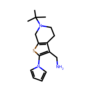 CC(C)(C)N1CCc2c(sc(-n3cccc3)c2CN)C1